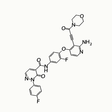 Nc1nccc(Oc2ccc(NC(=O)c3ccnn(-c4ccc(F)cc4)c3=O)cc2F)c1C#CC(=O)N1CCOCC1